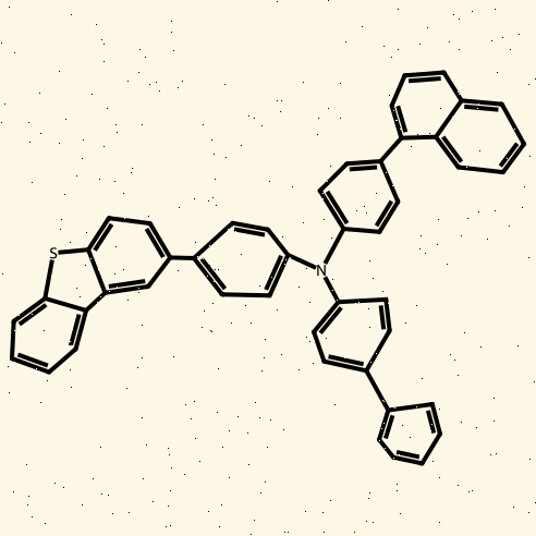 c1ccc(-c2ccc(N(c3ccc(-c4ccc5sc6ccccc6c5c4)cc3)c3ccc(-c4cccc5ccccc45)cc3)cc2)cc1